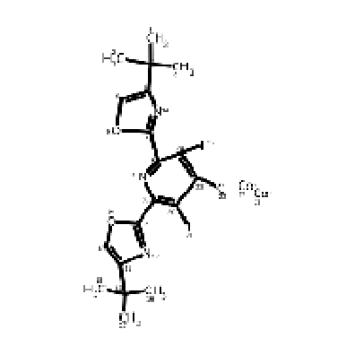 CC(C)(C)c1coc(-c2nc(-c3nc(C(C)(C)C)co3)c(I)c(Cl)c2I)n1.[Co].[Co]